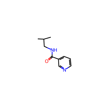 CC(C)CNC(=O)c1cccnc1